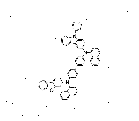 c1ccc(-n2c3ccccc3c3cc(N(c4ccc(-c5ccc(N(c6ccc7c(c6)oc6ccccc67)c6cccc7ccccc67)cc5)cc4)c4cccc5ccccc45)ccc32)cc1